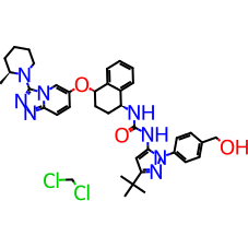 C[C@H]1CCCCN1c1nnc2ccc(O[C@@H]3CC[C@H](NC(=O)Nc4cc(C(C)(C)C)nn4-c4ccc(CO)cc4)c4ccccc43)cn12.ClCCl